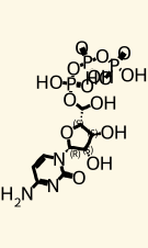 Nc1ccn([C@@H]2O[C@H](C(O)OP(=O)(O)OP(=O)(O)OP(=O)(O)O)[C@@H](O)[C@@H]2O)c(=O)n1